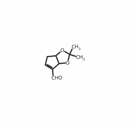 CC1(C)OC2CC=C(C=O)C2O1